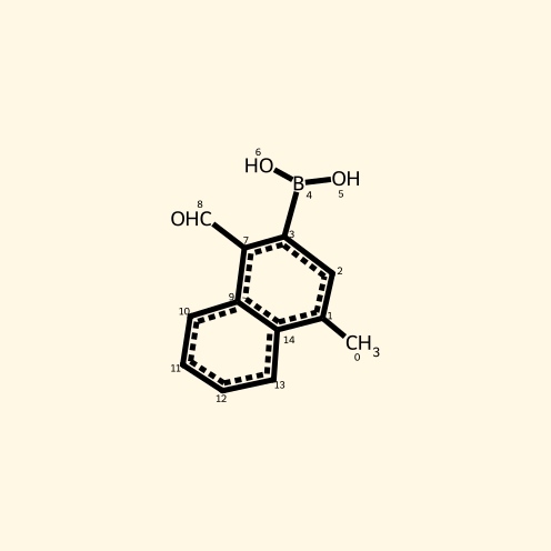 Cc1cc(B(O)O)c(C=O)c2ccccc12